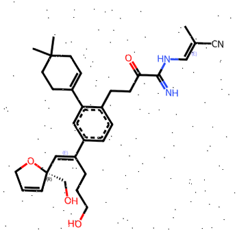 C/C(C#N)=C\NC(=N)C(=O)CCc1ccc(/C(=C/[C@@]2(CO)C=CCO2)CCCO)cc1C1=CCC(C)(C)CC1